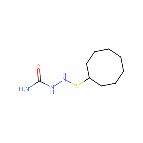 NC(=O)NNSC1CCCCCCC1